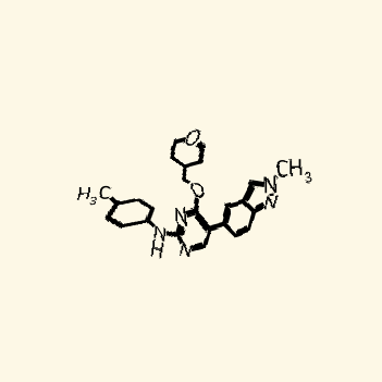 CC1CCC(Nc2ncc(-c3ccc4nn(C)cc4c3)c(OCC3CCOCC3)n2)CC1